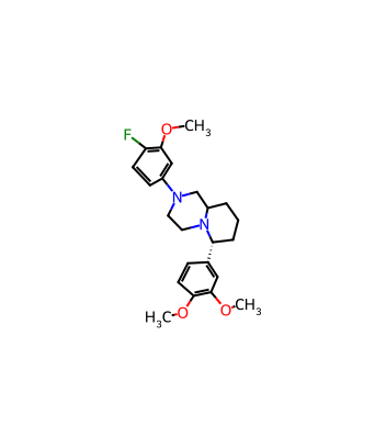 COc1cc(N2CCN3C(CCC[C@@H]3c3ccc(OC)c(OC)c3)C2)ccc1F